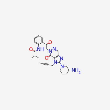 CC#CCn1c(N2CCCC(N)C2)nc2cnn(CC(=O)c3ccccc3NC(=O)C(C)C)c(=O)c21